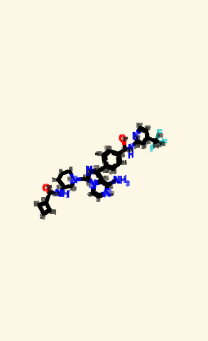 Nc1nccn2c(N3CCCC(NC(=O)C4CCC4)C3)nc(-c3ccc(C(=O)Nc4cc(C(F)(F)F)ccn4)cc3)c12